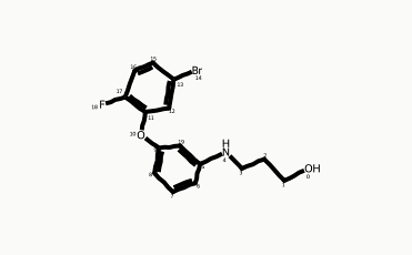 OCCCNc1cccc(Oc2cc(Br)ccc2F)c1